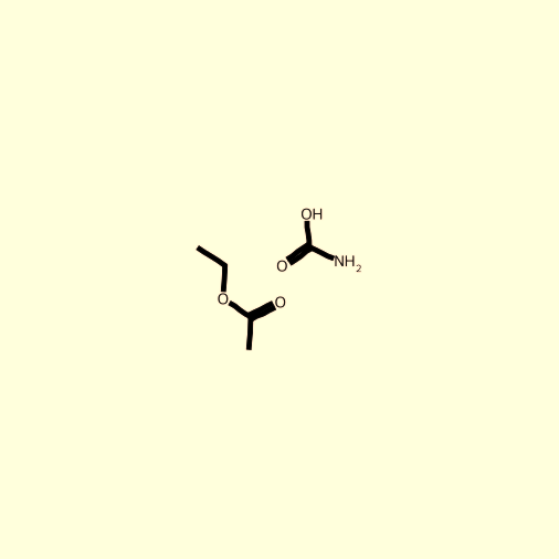 CCOC(C)=O.NC(=O)O